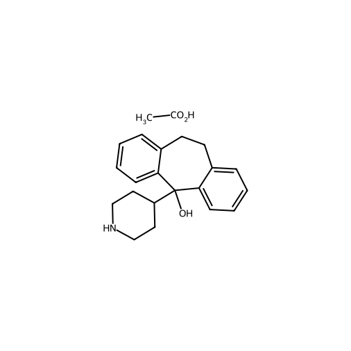 CC(=O)O.OC1(C2CCNCC2)c2ccccc2CCc2ccccc21